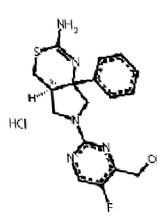 Cl.NC1=NC2(c3ccccc3)CN(c3ncc(F)c(CO)n3)C[C@H]2CS1